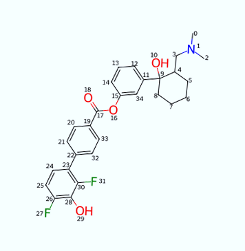 CN(C)CC1CCCCC1(O)c1cccc(OC(=O)c2ccc(-c3ccc(F)c(O)c3F)cc2)c1